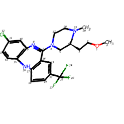 COCC[C@H]1CN(C2=Nc3cc(Cl)ccc3Nc3ccc(C(F)(F)F)cc32)CCN1C